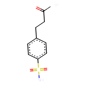 COC(=O)CCc1ccc(S(N)(=O)=O)cc1